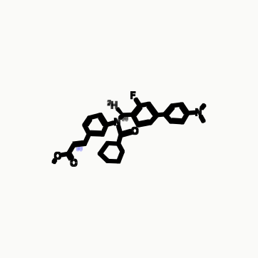 [2H][C@@H](c1ccc(-c2ccc(N(C)C)cc2)cc1F)N(C(=O)C1CCCCC1)c1cccc(/C=C/C(=O)OC)c1